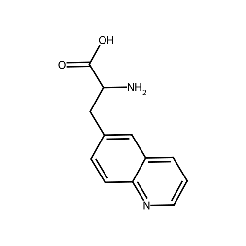 NC(Cc1ccc2ncccc2c1)C(=O)O